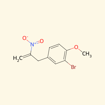 C=C(Cc1ccc(OC)c(Br)c1)[N+](=O)[O-]